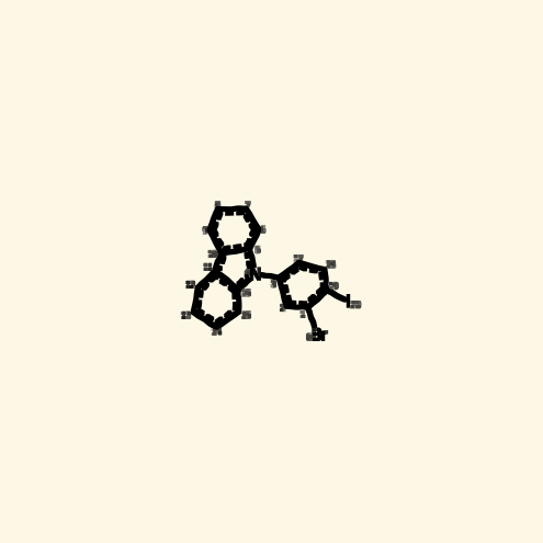 Brc1cc(-n2c3ccccc3c3ccccc32)ccc1I